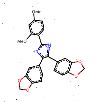 COc1ccc(-c2nc(-c3ccc4c(c3)OCO4)c(-c3ccc4c(c3)OCO4)[nH]2)c(OC)c1